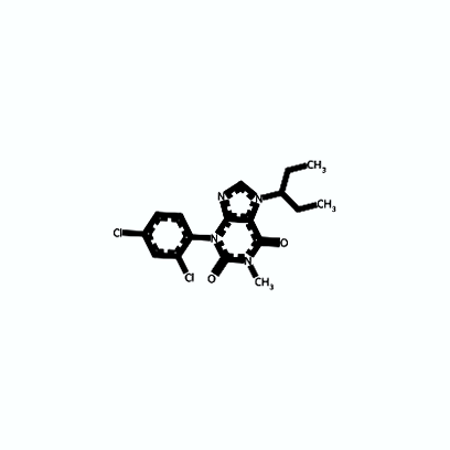 CCC(CC)n1cnc2c1c(=O)n(C)c(=O)n2-c1ccc(Cl)cc1Cl